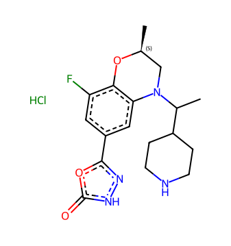 CC(C1CCNCC1)N1C[C@H](C)Oc2c(F)cc(-c3n[nH]c(=O)o3)cc21.Cl